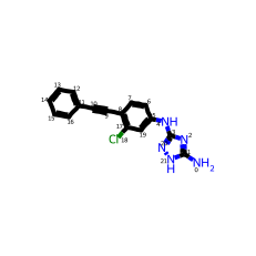 Nc1nc(Nc2ccc(C#Cc3ccccc3)c(Cl)c2)n[nH]1